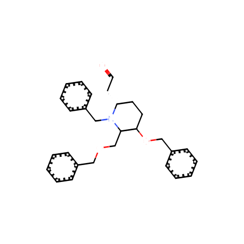 O=CC[C@@H]1CCC(OCc2ccccc2)C(COCc2ccccc2)N1Cc1ccccc1